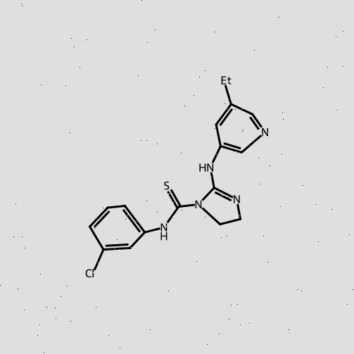 CCc1cncc(NC2=NCCN2C(=S)Nc2cccc(Cl)c2)c1